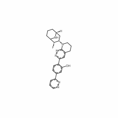 Oc1cc(-c2cccnn2)ccc1-c1cc2c(nn1)N([C@@H]1C[C@H]3CCCC(N3)[C@@H]1F)CCC2